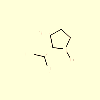 CCN1CCC[C@H]1C(C)N.N